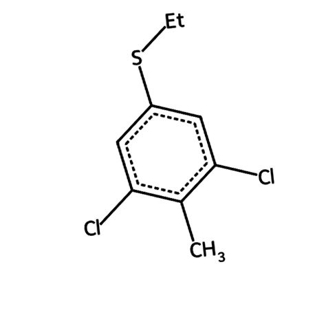 CCSc1cc(Cl)c(C)c(Cl)c1